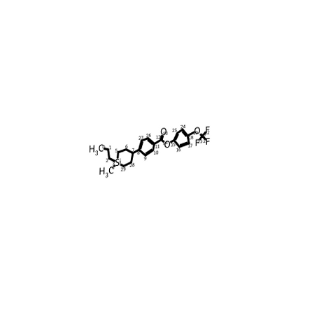 CCC[Si]1(C)CCC(c2ccc(C(=O)Oc3ccc(OC(F)(F)F)cc3)cc2)CC1